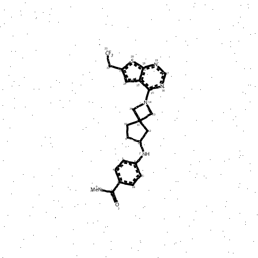 CNC(=O)c1ccc(NC2CCC3(C2)CN(c2ncnc4sc(CC(F)(F)F)cc24)C3)cc1